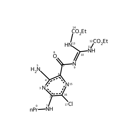 CCCNc1nc(N)c(C(=O)N=C(NC(=O)OCC)NC(=O)OCC)nc1Cl